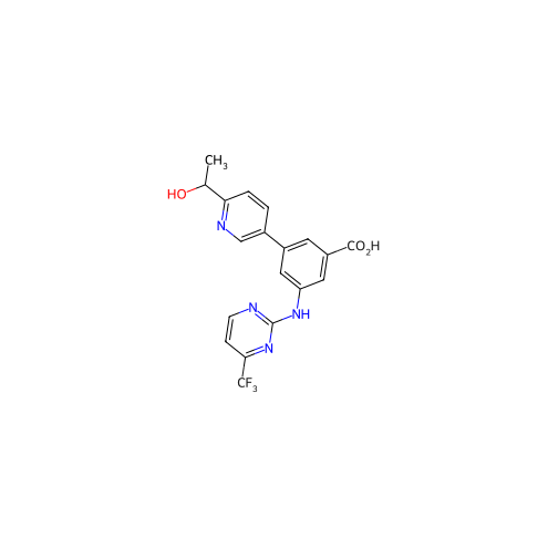 CC(O)c1ccc(-c2cc(Nc3nccc(C(F)(F)F)n3)cc(C(=O)O)c2)cn1